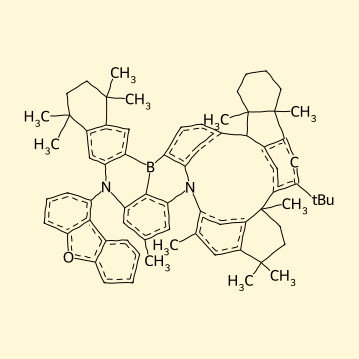 Cc1cc2c3c(c1)N(c1cccc4oc5ccccc5c14)c1cc4c(cc1B3c1ccc3cc1N2c1cc2c(cc1C)C(C)(C)CCC2(C)c1cc2c(cc1C(C)(C)C)C1(C)CCCCC1(C)C32)C(C)(C)CCC4(C)C